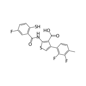 Cc1ccc(-c2csc(NC(=O)c3cc(F)ccc3S)c2C(=O)O)c(F)c1F